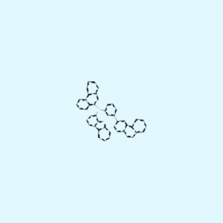 c1cc(-c2ccc3ccc4ccccc4c3c2)cc(N(c2cc3ccccc3c3ccccc23)c2cccc3c2oc2ccccc23)c1